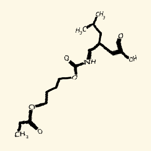 CCC(=O)OCCCCOC(=O)NCC(CC(=O)O)CC(C)C